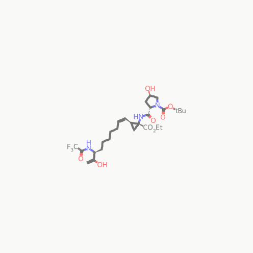 C=C(O)[C@H](CCCCC/C=C\[C@@H]1C[C@]1(NC(=O)[C@@H]1C[C@@H](O)CN1C(=O)OC(C)(C)C)C(=O)OCC)NC(=O)C(F)(F)F